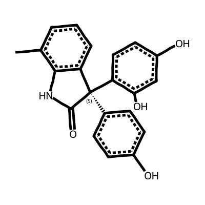 Cc1cccc2c1NC(=O)[C@]2(c1ccc(O)cc1)c1ccc(O)cc1O